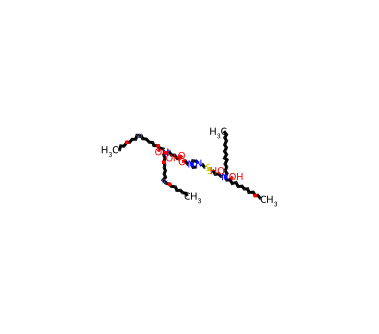 CCCCCCCC/C=C\CCCCCCC(O)CN(CCCCC(=O)OCCN1CCN(CCSSCCCCN(CC(O)CCCCCCCCCCCC)CC(O)CCCCCCCCCCCC)CC1)CC(O)CCCCCC/C=C\CCCCCCCC